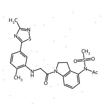 CC(=O)N(c1cccc2c1CCN2C(=O)CNc1cc(-c2nc(C)ns2)ccc1C)S(C)(=O)=O